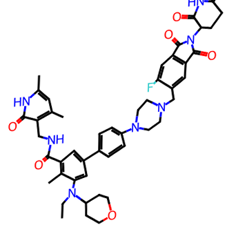 CCN(c1cc(-c2ccc(N3CCN(Cc4cc5c(cc4F)C(=O)N(C4CCC(=O)NC4=O)C5=O)CC3)cc2)cc(C(=O)NCc2c(C)cc(C)[nH]c2=O)c1C)C1CCOCC1